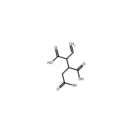 C=CC(C(=O)O)C(CC(=O)S)C(=O)O